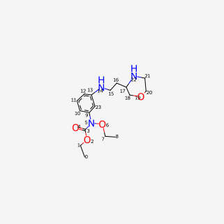 CCOC(=O)N(OCC)c1cccc(NCCC2COCCN2)c1